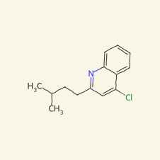 CC(C)CCc1cc(Cl)c2ccccc2n1